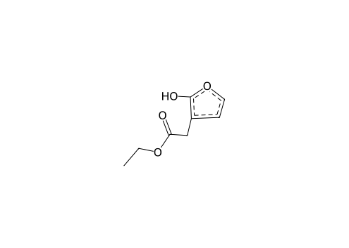 CCOC(=O)Cc1ccoc1O